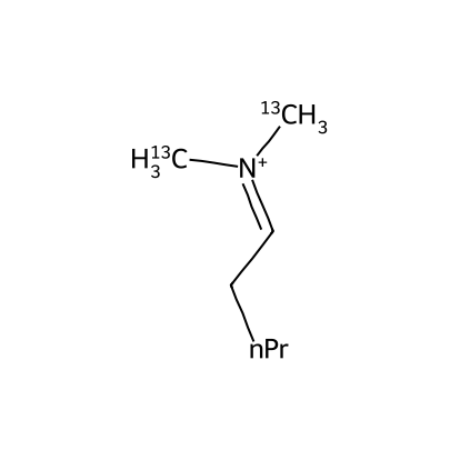 [13CH3]CCCC=[N+]([13CH3])[13CH3]